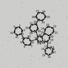 c1ccc(-c2cccc(-c3nn4c(-c5ccccn5)cc5ccccc5c4c3-c3cccc(-c4ccccc4)c3)c2)cc1